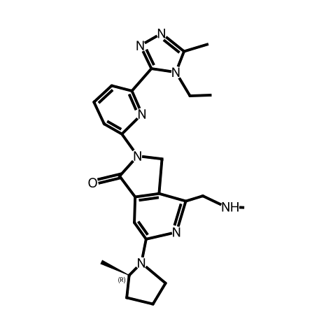 CCn1c(C)nnc1-c1cccc(N2Cc3c(cc(N4CCC[C@H]4C)nc3CNC)C2=O)n1